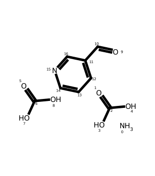 N.O=C(O)O.O=C(O)O.O=Cc1cccnc1